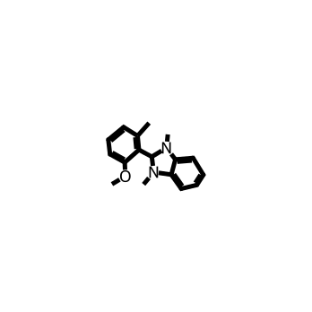 COc1cccc(C)c1C1N(C)c2ccccc2N1C